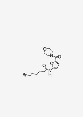 O=C(CCCCCBr)Nc1ccc(C(=O)N2CCOCC2)o1